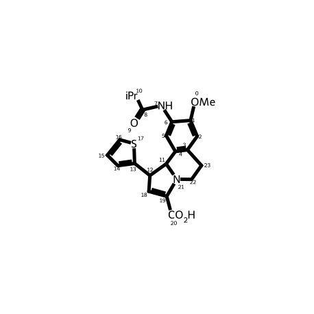 COc1cc2c(cc1NC(=O)C(C)C)C1C(c3cccs3)C=C(C(=O)O)N1CC2